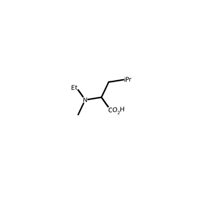 CCN(C)C(CC(C)C)C(=O)O